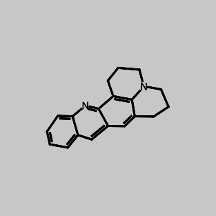 c1ccc2nc3c4c5c(cc3cc2c1)CCCN5CCC4